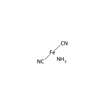 N.N#[C][Fe][C]#N